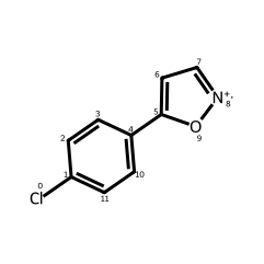 Clc1ccc(C2=CC=[N+]O2)cc1